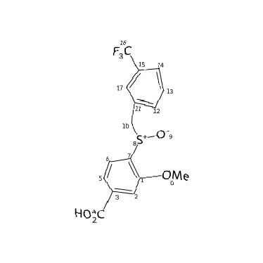 COc1cc(C(=O)O)ccc1[S+]([O-])Cc1cccc(C(F)(F)F)c1